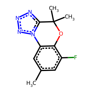 Cc1cc(F)c2c(c1)-n1nnnc1C(C)(C)O2